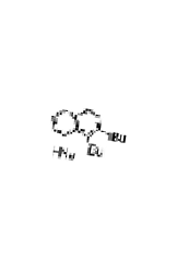 CCC(C)c1ccc2ccccc2c1C(C)CC.[NaH]